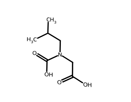 CC(C)CN(CC(=O)O)C(=O)O